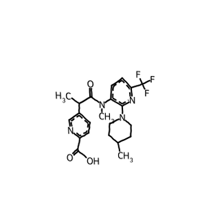 CC1CCN(c2nc(C(F)(F)F)ccc2N(C)C(=O)C(C)c2ccc(C(=O)O)nc2)CC1